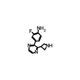 Nc1ccc(-c2nccnc2C2CNC2)cc1F